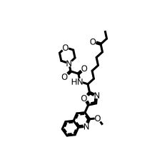 CCC(=O)CCCCCC(NC(=O)C(=O)N1CCOCC1)c1ncc(-c2cc3ccccc3nc2OC)o1